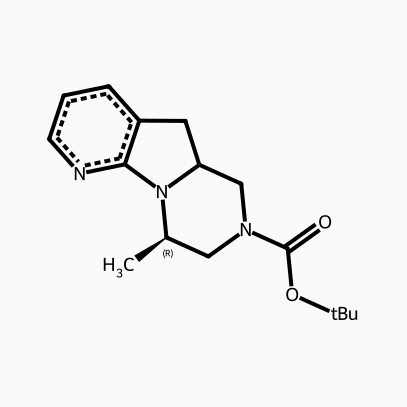 C[C@@H]1CN(C(=O)OC(C)(C)C)CC2Cc3cccnc3N21